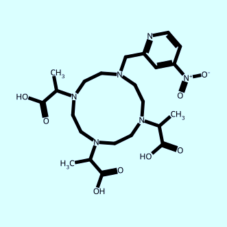 CC(C(=O)O)N1CCN(Cc2cc([N+](=O)[O-])ccn2)CCN(C(C)C(=O)O)CCN(C(C)C(=O)O)CC1